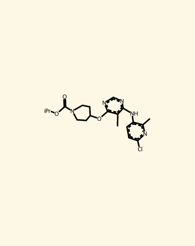 Cc1nc(Cl)ccc1Nc1ncnc(OC2CCN(C(=O)OC(C)C)CC2)c1C